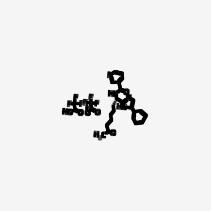 CC(=O)CCCCC[C@H](NC(=O)c1cccnc1)c1ncc(-c2ccccc2)[nH]1.O=C(O)C(F)(F)F.O=C(O)C(F)(F)F